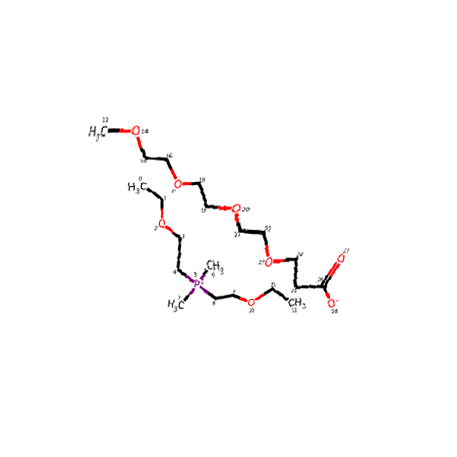 CCOCC[P+](C)(C)CCOCC.COCCOCCOCCOCCC(=O)[O-]